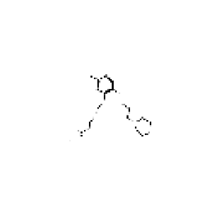 C[Si](C)(C)CCOCOc1cc(I)ccc1OCCCN1CCOCC1